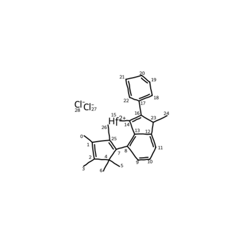 CC1=C(C)C(C)(C)C(c2cccc3c2[C]([Hf+2])=C(c2ccccc2)C3C)=C1C.[Cl-].[Cl-]